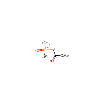 COC(=O)C[P@@](C)(=O)C(C)C